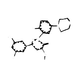 CCNc1cc(-c2cc(Br)cc(Br)c2)nn(-c2cc(N3CCOCC3)ccc2[N+](=O)[O-])c1=O